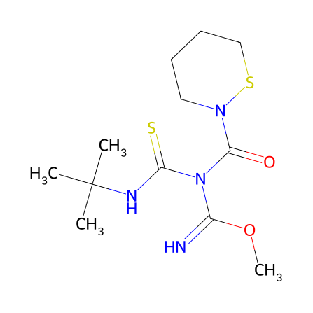 COC(=N)N(C(=O)N1CCCCS1)C(=S)NC(C)(C)C